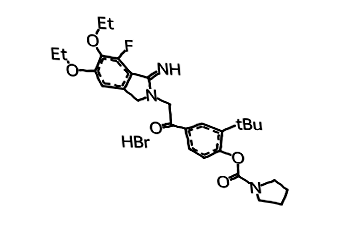 Br.CCOc1cc2c(c(F)c1OCC)C(=N)N(CC(=O)c1ccc(OC(=O)N3CCCC3)c(C(C)(C)C)c1)C2